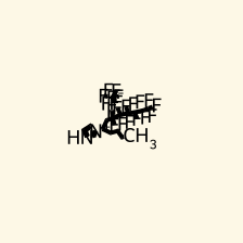 CCCCC(CC(F)(F)C(F)(F)C(F)(F)C(F)(F)C(F)(F)C(F)(F)F)[n+]1cc[nH]c1.F[P-](F)(F)(F)(F)F